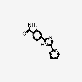 NC(=O)c1ccc(-c2ncc(-c3ccccn3)[nH]2)cc1